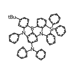 CC(C)(C)c1ccc2c(c1)N(c1ccccc1)c1cc(N(c3ccccc3)c3ccccc3)cc3c1B2c1cccc2c1N3c1ccccc1[Si]2(c1ccccc1)c1ccccc1